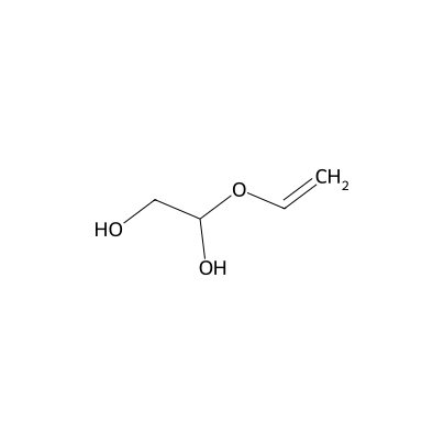 C=COC(O)CO